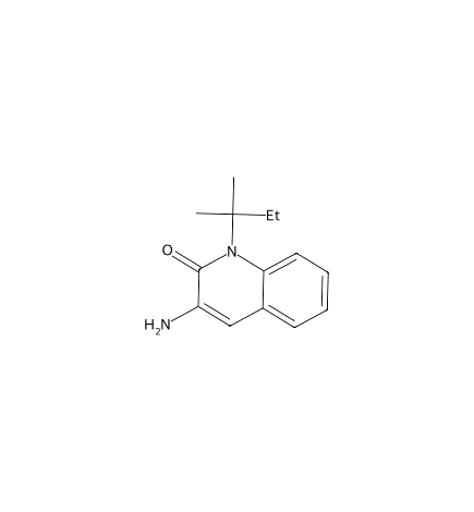 CCC(C)(C)n1c(=O)c(N)cc2ccccc21